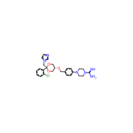 N=C(N)N1CCN(c2ccc(CO[C@H]3CO[C@@](Cn4ccnc4)(c4ccccc4Cl)OC3)cc2)CC1